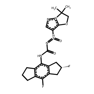 CC1(C)COc2c([SH](=O)=NC(=O)Nc3c4c(c(F)c5c3C[C@H](F)C5)CCC4)cnn21